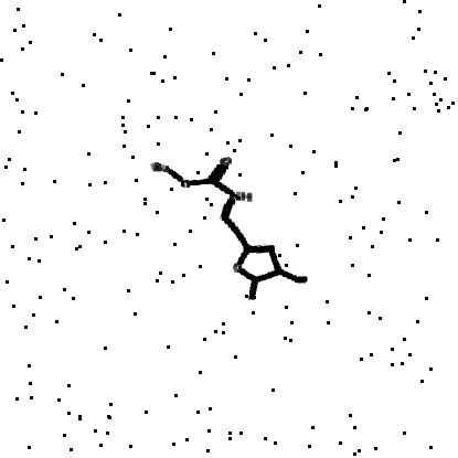 CC1CC(CNC(=O)OC(C)(C)C)OC1C